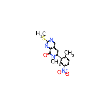 CSc1ncc2cc(-c3cc([N+](=O)[O-])ccc3C)n(C)c(=O)c2n1